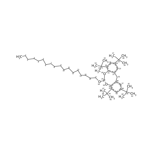 CCCCCCCCCCCCCCCCCCOP1Oc2c(cc(C(C)(C)C)cc2C(C)(C)C)Cc2cc(C(C)(C)C)cc(C(C)(C)C)c2O1